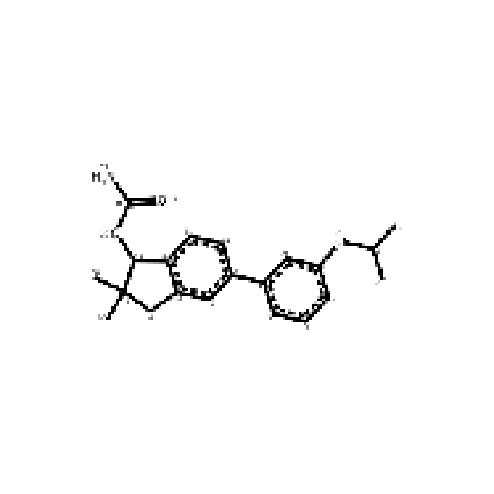 CC(C)Oc1cccc(-c2ccc3c(c2)CC(C)(C)C3OC(N)=O)c1